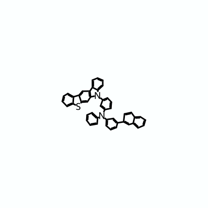 c1ccc(N(c2cccc(-c3ccc4ccccc4c3)c2)c2cccc(-n3c4ccccc4c4cc5c(cc43)sc3ccccc35)c2)cc1